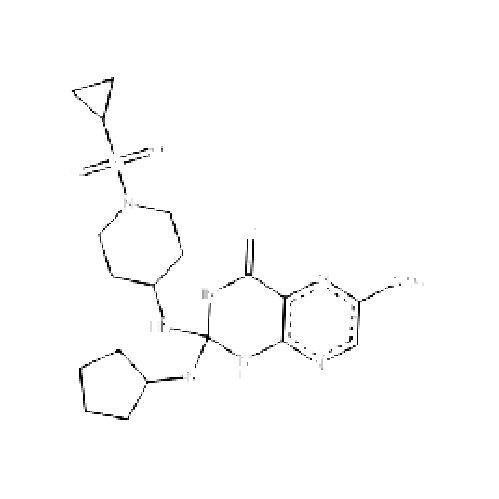 CNc1cnc2c(n1)C(=O)NC(NC1CCCC1)(NC1CCN(S(=O)(=O)C3CC3)CC1)N2